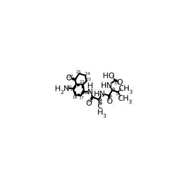 CC(C)[C@H](NC(=O)O)C(=O)N[C@@H](C)C(=O)Nc1ccc(N)c2c1CCCC2=O